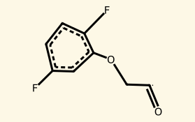 O=[C]COc1cc(F)ccc1F